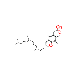 Cc1c(C)c2c(c(C)c1CC(=O)O)C=C[C@](C)(CCCC(C)CCCC(C)CCCC(C)C)O2